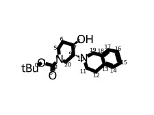 CC(C)(C)OC(=O)N1CC[C@@H](O)[C@H](N2CCc3ccccc3C2)C1